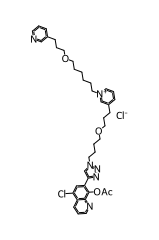 CC(=O)Oc1c(-c2cn(CCCCOCCCc3ccc[n+](CCCCCCOCCCc4cccnc4)c3)nn2)cc(Cl)c2cccnc12.[Cl-]